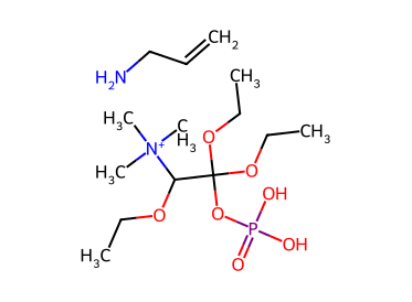 C=CCN.CCOC(C(OCC)(OCC)OP(=O)(O)O)[N+](C)(C)C